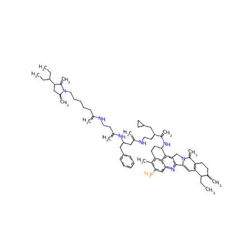 C=C(CCCCCN1C(=C)CC(C(CC)CC)C1=C)NCCC(=C)NC(CC(=C)NCCC(CC1CC1)C(=C)NC1CCc2c(C)c(P)cc3nc4c(c1c23)CN1C(=C)C2=C(C=C41)C(CC)C(=C)CC2)Cc1ccccc1